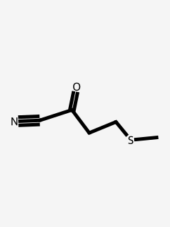 CSCCC(=O)C#N